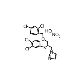 Clc1ccc(COCC(Cn2ccnc2)Sc2ccc(Cl)c(Cl)c2)c(Cl)c1.O=[N+]([O-])O